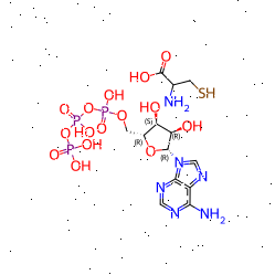 NC(CS)C(=O)O.Nc1ncnc2c1ncn2[C@@H]1O[C@H](COP(=O)(O)OP(=O)(O)OP(=O)(O)O)[C@@H](O)[C@H]1O